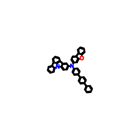 c1ccc(-c2ccc(-c3ccc(N(c4ccc5c(c4)oc4ccccc45)c4ccc5c(c4)c4cccc6c7ccccc7n5c64)cc3)cc2)cc1